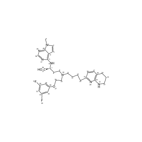 Cn1ccc2c(N[C@@H](CCN(CCCCc3ccc4c(n3)NCCC4)CCOc3cc(F)cc(F)c3)C(=O)O)ncnc21